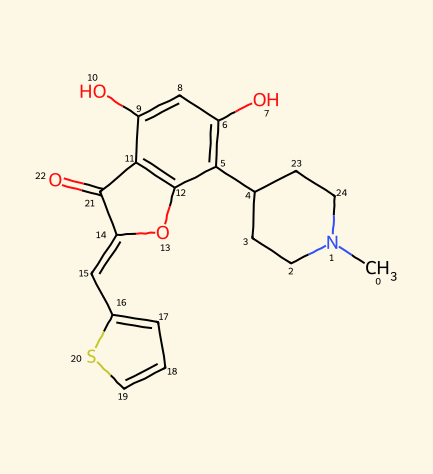 CN1CCC(c2c(O)cc(O)c3c2O/C(=C\c2cccs2)C3=O)CC1